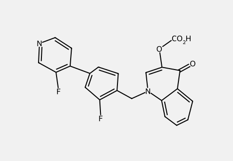 O=C(O)Oc1cn(Cc2ccc(-c3ccncc3F)cc2F)c2ccccc2c1=O